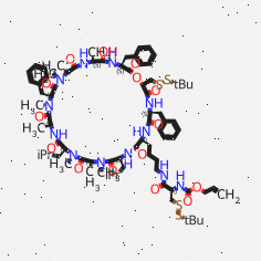 C=CCOC(=O)N[C@@H](CSSC(C)(C)C)C(=O)NCCCC[C@@H]1NC(=O)[C@H](Cc2ccccc2)NC(=O)C(CSSC(C)(C)C)OC(=O)[C@H](Cc2ccccc2)NC(O)[C@H](C)NC(=O)[C@H](C)N(C)C(=O)[C@H](Cc2ccccc2)N(C)C(=O)[C@H](C)NC(=O)[C@H](CC(C)C)N(C)C(=O)[C@H](C)N(C)C(=O)[C@H](CC(C)C)NC1=O